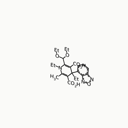 CCOC(OCC)C1=C(C(=O)O)C(CC)(c2cccc3nonc23)C(C(=O)O)=C(C)N1CC